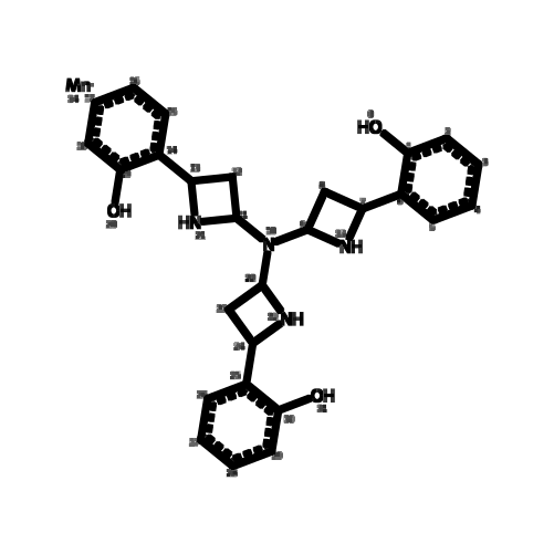 Oc1ccccc1C1CC(N(C2CC(c3ccccc3O)N2)C2CC(c3ccccc3O)N2)N1.[Mn]